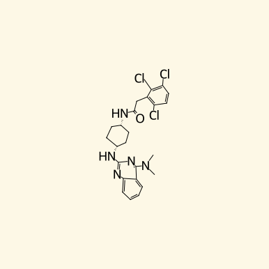 CN(C)c1nc(N[C@H]2CC[C@@H](NC(=O)Cc3c(Cl)ccc(Cl)c3Cl)CC2)nc2ccccc12